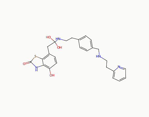 O=c1[nH]c2c(O)ccc(CC(O)(O)NCCc3ccc(CNCCc4ccccn4)cc3)c2s1